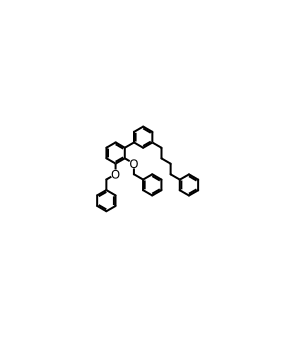 c1ccc(CCCCc2cccc(-c3cccc(OCc4ccccc4)c3OCc3ccccc3)c2)cc1